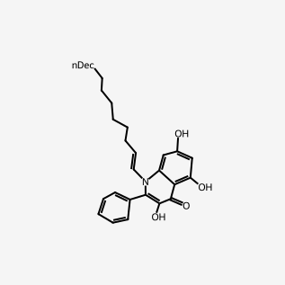 CCCCCCCCCCCCCCCCC=Cn1c(-c2ccccc2)c(O)c(=O)c2c(O)cc(O)cc21